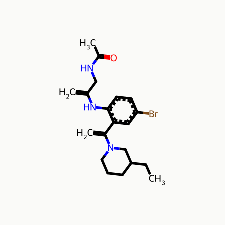 C=C(CNC(C)=O)Nc1ccc(Br)cc1C(=C)N1CCCC(CC)C1